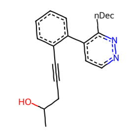 CCCCCCCCCCc1nnccc1-c1ccccc1C#CCC(C)O